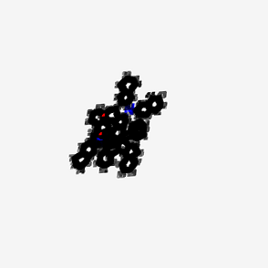 c1ccc(C2(C3(c4ccccc4)c4ccc5ccccc5c4-c4c3cc(N(c3ccc5ccccc5c3)c3ccc5ccccc5c3)c3ccccc43)c3ccc4ccccc4c3-c3c2cc(N(c2ccc4ccccc4c2)c2ccc4ccccc4c2)c2ccccc32)cc1